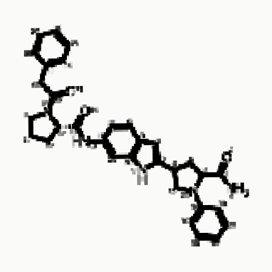 NC(=O)C1CC(c2cc3ccc(NC(=O)[C@@H]4CCCN4C(=O)Cc4ccccc4)cc3[nH]2)CN1c1ccccc1